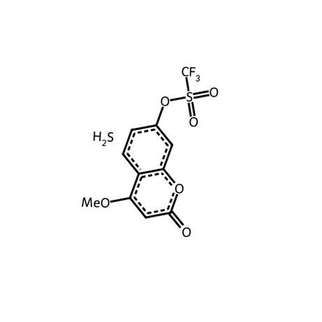 COc1cc(=O)oc2cc(OS(=O)(=O)C(F)(F)F)ccc12.S